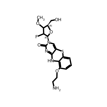 COC1C(F)[C@H](n2cc3c(nc2=O)Nc2c(OCCN)cccc2S3)O[C@@H]1CO